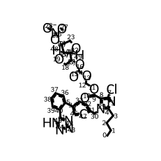 CCCCc1nc(Cl)c(C(=O)OCOC(=O)O[C@H]2CO[C@H]3[C@@H]2OC[C@H]3O[N+](=O)[O-])n1Cc1ccc(-c2ccccc2-c2nnn[nH]2)cc1